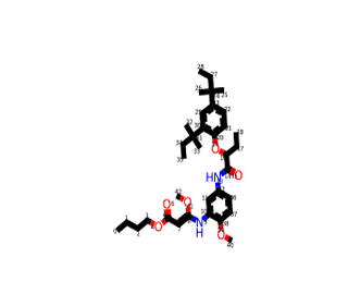 CCCCOC(=O)C=C(Nc1cc(NC(=O)C(CC)Oc2ccc(C(C)(C)CC)cc2C(C)(C)CC)ccc1OC)OC